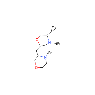 CC(C)N1CCOCC1CC1CN(C(C)C)C(C2CC2)CO1